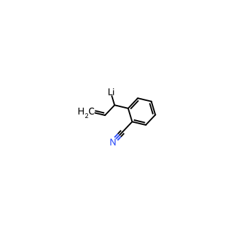 [Li][CH](C=C)c1ccccc1C#N